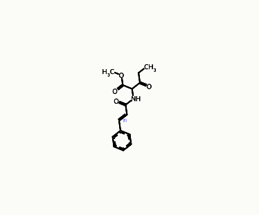 CCC(=O)C(NC(=O)/C=C/c1ccccc1)C(=O)OC